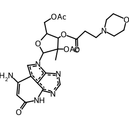 CC(=O)OCC1OC(n2cc3c4c(ncnc42)NC(=O)C=C3N)C(C)(OC(C)=O)C1OC(=O)CCN1CCOCC1